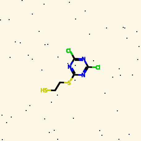 SCCSc1nc(Cl)nc(Cl)n1